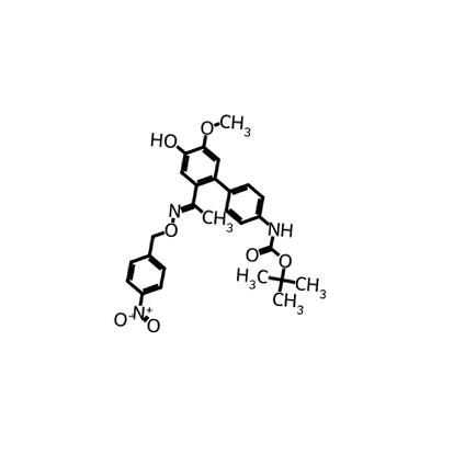 COc1cc(-c2ccc(NC(=O)OC(C)(C)C)cc2)c(/C(C)=N/OCc2ccc([N+](=O)[O-])cc2)cc1O